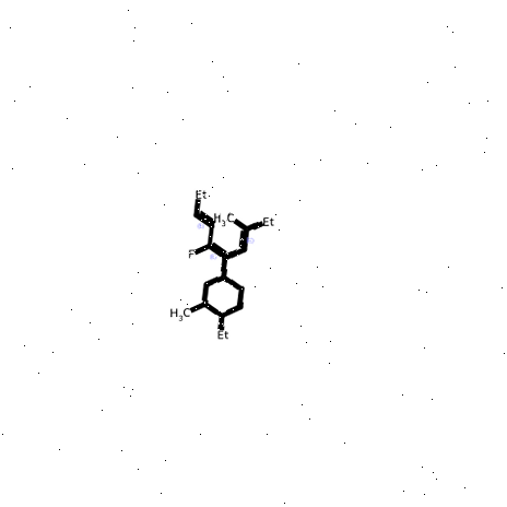 CC/C=C/C(F)=C(\C=C(/C)CC)C1CCC(CC)C(C)C1